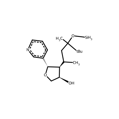 CC(CC(C)(O[SiH3])C(C)(C)C)[C@@H]1[C@@H](c2cccnc2)OC[C@@H]1O